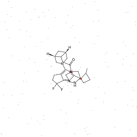 CC1CCN1c1nc(N2C[C@H]3C[C@@H](C2)C3CC(=O)N2CCNCC2)c2c(n1)C(F)(F)CC2